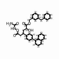 NC(=O)NOC(=O)CC(CC(O)C(=O)OCc1cccc(Cc2ccccc2)c1)c1ccc(-c2cccc3ccccc23)cc1